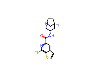 O=C(N[C@@H]1C[C@@H]2CCN(C2)C1)c1cc2ccsc2c(Cl)n1